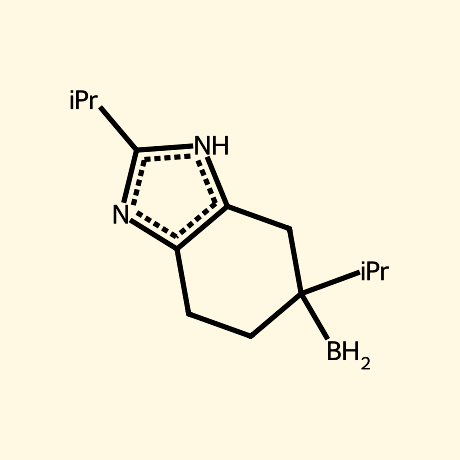 BC1(C(C)C)CCc2nc(C(C)C)[nH]c2C1